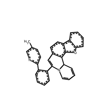 Cc1ccc(-c2ccccc2C2=Cc3ccc4c(oc5ccccc54)c3C3C=CC=CN23)nc1